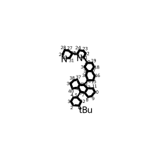 CC(C)(C)c1cccc(-c2c3ccccc3c(-c3ccc4ccc(-c5cccc(-c6cccnc6)n5)cc4c3)c3ccccc23)c1